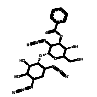 [N-]=[N+]=NC1C[C@@H](N=[N+]=[N-])C(O)[C@@H](O)[C@@H]1O[C@H]1OC(CO)[C@@H](O)[C@H](OC(=O)c2ccccc2)C1N=[N+]=[N-]